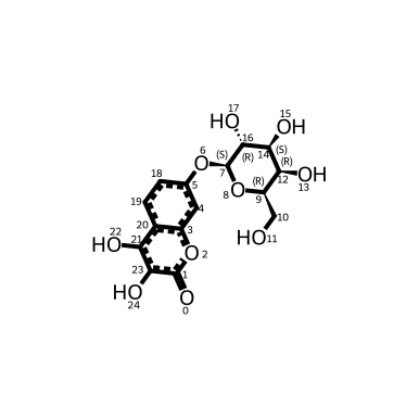 O=c1oc2cc(O[C@@H]3O[C@H](CO)[C@H](O)[C@H](O)[C@H]3O)ccc2c(O)c1O